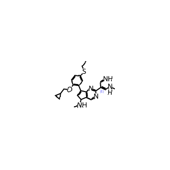 CCSc1ccc(OCC2CC2)c(C2=CC(NC)c3cnc(/C(C=N)=C/NC)nc32)c1